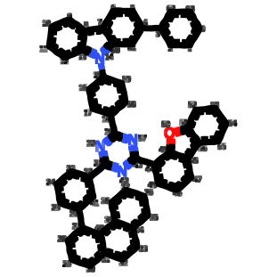 c1ccc(-c2ccc3c4ccccc4n(-c4ccc(-c5nc(-c6cccc(-c7cccc8ccc9ccccc9c78)c6)nc(-c6cccc7c6oc6ccccc67)n5)cc4)c3c2)cc1